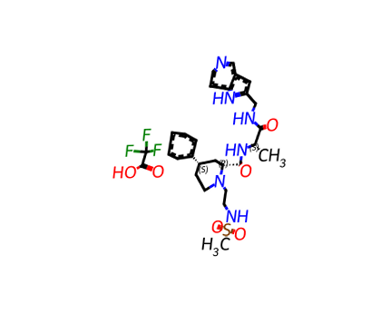 C[C@H](NC(=O)[C@H]1C[C@@H](c2ccccc2)CCN1CCNS(C)(=O)=O)C(=O)NCc1cc2cnccc2[nH]1.O=C(O)C(F)(F)F